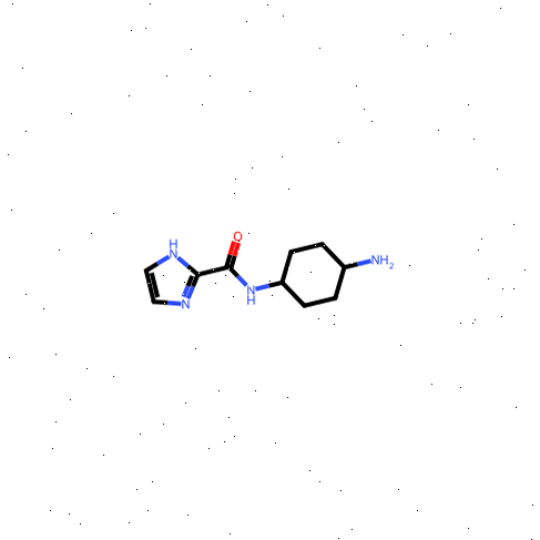 NC1CCC(NC(=O)c2ncc[nH]2)CC1